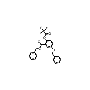 O=C(OCc1ccccc1)c1cc(OCc2ccccc2)ccc1OC(=O)C(F)(F)F